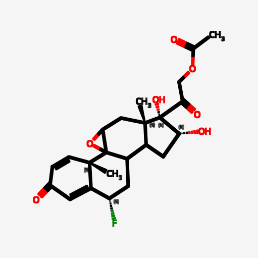 CC(=O)OCC(=O)[C@@]1(O)[C@H](O)CC2C3C[C@H](F)C4=CC(=O)C=C[C@]4(C)C34OC4C[C@@]21C